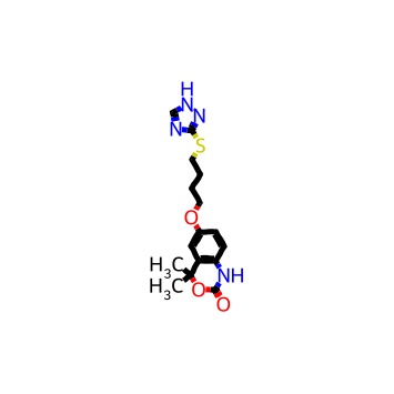 CC1(C)OC(=O)Nc2ccc(OCCCCSc3nc[nH]n3)cc21